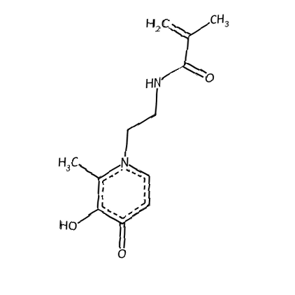 C=C(C)C(=O)NCCn1ccc(=O)c(O)c1C